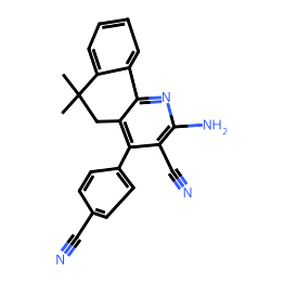 CC1(C)Cc2c(nc(N)c(C#N)c2-c2ccc(C#N)cc2)-c2ccccc21